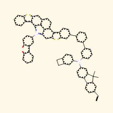 C=Cc1ccc2c(c1)C(C)(C)c1cc(N(c3cccc(-c4cccc(-c5ccc6c(c5)sc5cc7c8c(ccc9cc%10sc%11ccccc%11c%10c(c98)n7-c7ccc8oc9ccccc9c8c7)c56)c4)c3)c3ccc4c(c3)CC4)ccc1-2